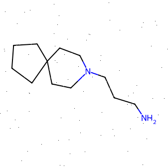 NCCCN1CCC2(CCCC2)CC1